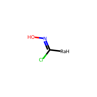 O/N=[C](\Cl)[RaH]